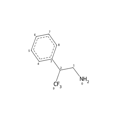 NCC(c1ccccc1)C(F)(F)F